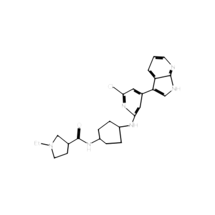 CCN1CCC(C(=O)NC2CCC(Nc3cc(-c4c[nH]c5ncccc45)cc(Cl)n3)CC2)C1